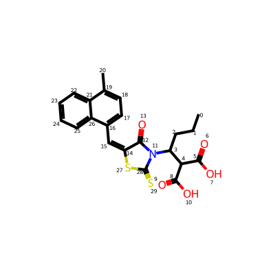 CCCC(C(C(=O)O)C(=O)O)N1C(=O)C(=Cc2ccc(C)c3ccccc23)SC1=S